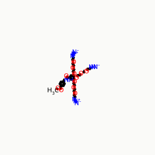 COC(=O)c1ccc(CNC(=O)c2cc(OCCOCCOCCN=[N+]=[N-])c(OCCOCCOCCN=[N+]=[N-])c(OCCOCCOCCN=[N+]=[N-])c2)cc1